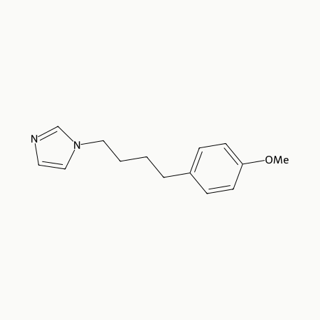 COc1ccc(CCCCn2ccnc2)cc1